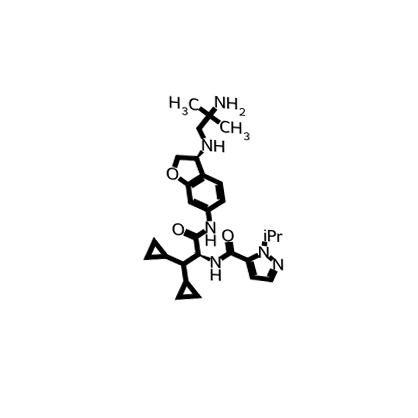 CC(C)n1nccc1C(=O)N[C@H](C(=O)Nc1ccc2c(c1)OC[C@H]2NCC(C)(C)N)C(C1CC1)C1CC1